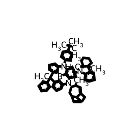 CC1C=C2CC3=CC(CC1N1c4cc(N5c6ccccc6C6(C)CCCCC56C)cc5c4B4c6c(cccc6C(C)(c6ccccc6)c6cccc1c64)N5c1ccc(C(C)(C)C)cc1)C23